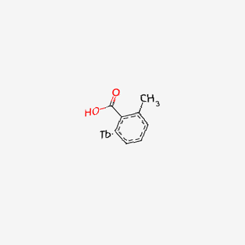 Cc1ccccc1C(=O)O.[Tb]